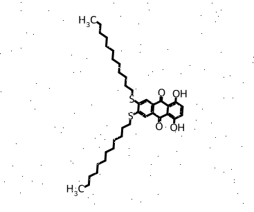 CCCCCCCCCCCCSc1cc2c(cc1SCCCCCCCCCCCC)C(=O)c1c(O)ccc(O)c1C2=O